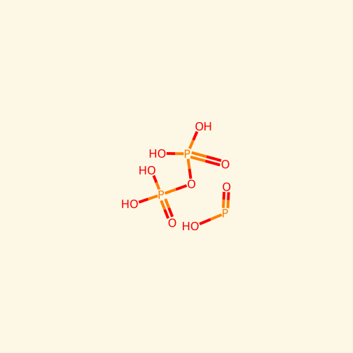 O=P(O)(O)OP(=O)(O)O.O=PO